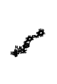 Nc1c(-c2cc(Cc3ccc(OCc4ccccc4)cc3)no2)ccc[n+]1COP(=O)([O-])O